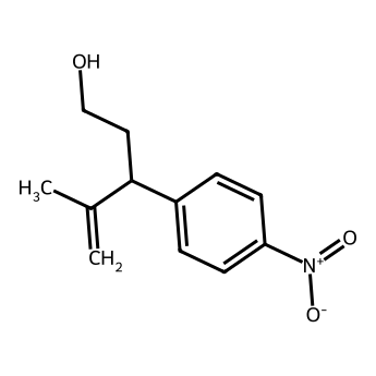 C=C(C)C(CCO)c1ccc([N+](=O)[O-])cc1